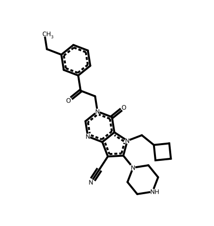 CCc1cccc(C(=O)Cn2cnc3c(C#N)c(N4CCNCC4)n(CC4CCC4)c3c2=O)c1